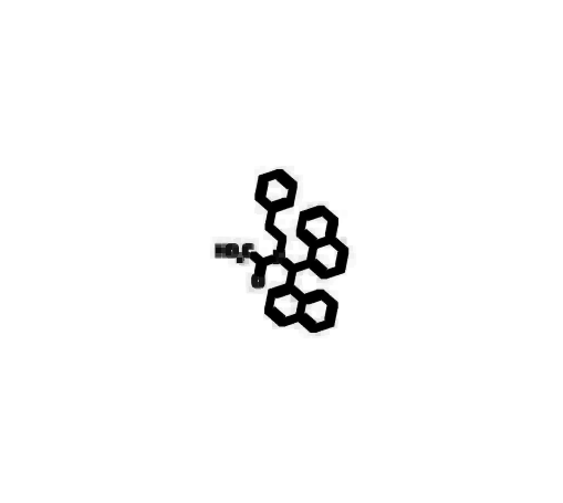 O=C(O)C(=O)N(CCc1ccccc1)C(c1cccc2ccccc12)c1cccc2ccccc12